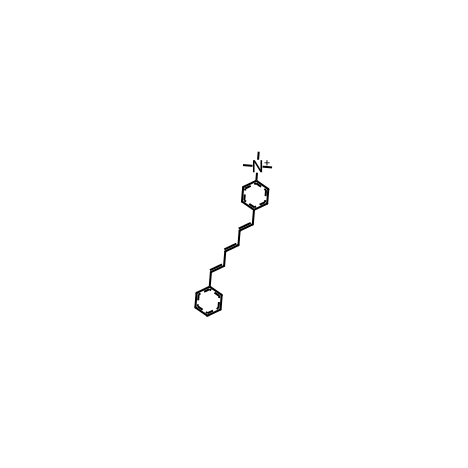 C[N+](C)(C)c1ccc(C=CC=CC=Cc2ccccc2)cc1